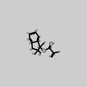 C=C(C)C(=O)OC1(C)c2ccccc2CC1(C)C